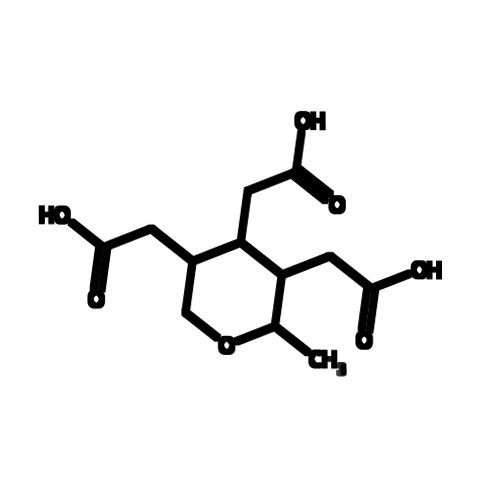 CC1OCC(CC(=O)O)C(CC(=O)O)C1CC(=O)O